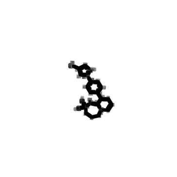 O=S1(=O)CCCN2C=CC=C(c3ccc(-n4cc(Cl)cn4)cc3)C2=N1